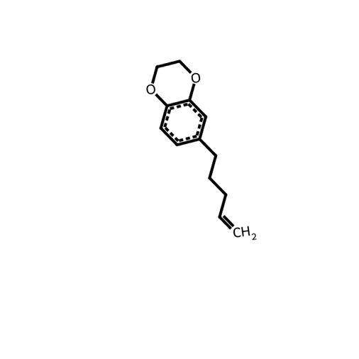 C=CCCCc1ccc2c(c1)OCCO2